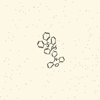 S=P1(c2ccc(N3c4ccccc4Oc4ccccc43)cc2)c2ccccc2S(c2ccccc2)(c2ccccc2)c2ccccc21